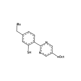 CCCCCCCCc1cnc(-c2ccc(CC(C)CC)cc2S)nc1